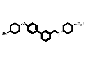 CC(C)(C)[C@H]1CC[C@H](Oc2ccc(-c3cccc(CN[C@H]4CC[C@H](C(=O)O)CC4)c3)cc2)CC1